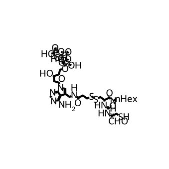 CCCCCCNC(=O)C(CSSCCC(=O)NCc1cn(C2CC(O)C(COP(=O)(O)OP(=O)(O)OP(=O)(O)O)O2)c2ncnc(N)c12)NC(=O)N[C@H](C=O)CS